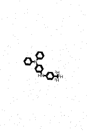 [2H]C([2H])([2H])c1ccc(Nc2ccc(N(c3ccccc3)c3ccccc3)cc2)cc1